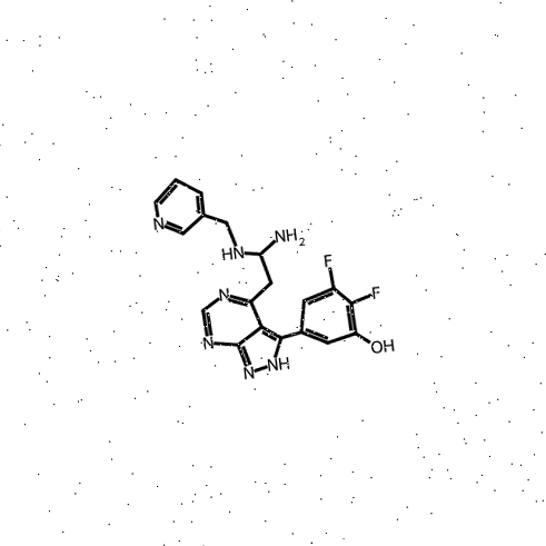 NC(Cc1ncnc2n[nH]c(-c3cc(O)c(F)c(F)c3)c12)NCc1cccnc1